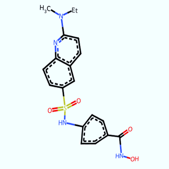 CCN(C)c1ccc2cc(S(=O)(=O)Nc3ccc(C(=O)NO)cc3)ccc2n1